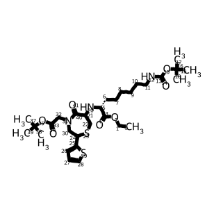 CCOC(=O)[C@@H](CCCCCCNC(=O)OC(C)(C)C)NC1CSC(c2cccs2)CN(CC(=O)OC(C)(C)C)C1=O